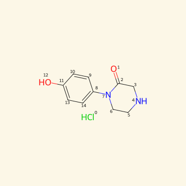 Cl.O=C1CNCCN1c1ccc(O)cc1